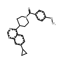 O=C(c1ccc(OC(F)(F)F)cc1)N1CCC(c2ncnc3cc(C4CC4)ccc23)CC1